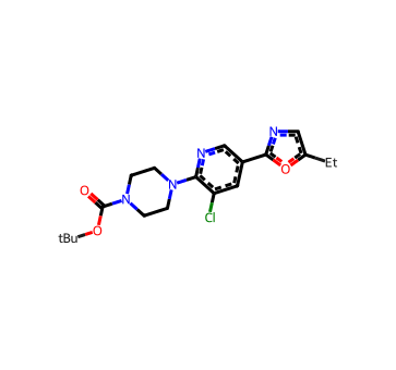 CCc1cnc(-c2cnc(N3CCN(C(=O)OC(C)(C)C)CC3)c(Cl)c2)o1